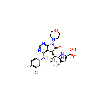 CC(=C1C(=O)N(N2CCOCC2)c2ncnc(Nc3ccc(F)c(Cl)c3)c21)c1[nH]c(C(=O)O)cc1C